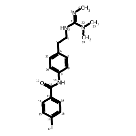 C/N=C(/NCCc1ccc(NC(=O)c2ccc(I)cc2)cc1)N(C)C